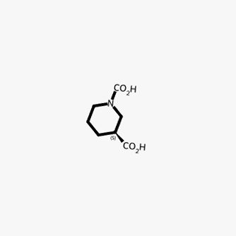 O=C(O)[C@H]1CCCN(C(=O)O)C1